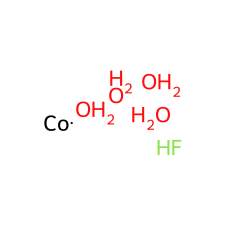 F.O.O.O.O.[Co]